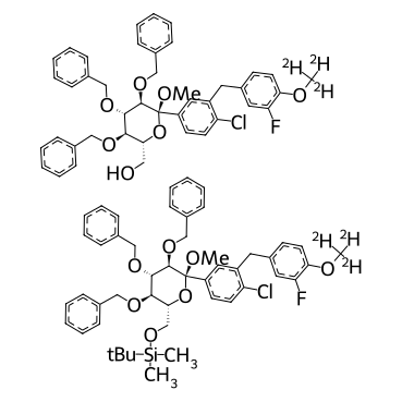 [2H]C([2H])([2H])Oc1ccc(Cc2cc([C@]3(OC)O[C@H](CO)[C@@H](OCc4ccccc4)[C@H](OCc4ccccc4)[C@H]3OCc3ccccc3)ccc2Cl)cc1F.[2H]C([2H])([2H])Oc1ccc(Cc2cc([C@]3(OC)O[C@H](CO[Si](C)(C)C(C)(C)C)[C@@H](OCc4ccccc4)[C@H](OCc4ccccc4)[C@H]3OCc3ccccc3)ccc2Cl)cc1F